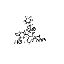 CCCN/C=C(\N)CCC(c1ccc(C)c(CO)c1)C(C)(C)C(=O)OCc1ccccc1